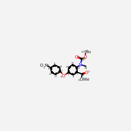 COC(=O)c1cc(Oc2ccc([N+](=O)[O-])cc2)ccc1N(C)C(=O)OC(C)(C)C